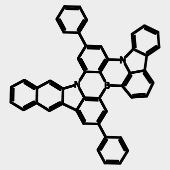 c1ccc(-c2cc3c4c(c2)-n2c5cc6ccccc6cc5c5cc(-c6ccccc6)cc(c52)B4c2cccc4c5ccccc5n-3c24)cc1